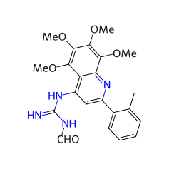 COc1c(OC)c(OC)c2c(NC(=N)NC=O)cc(-c3ccccc3C)nc2c1OC